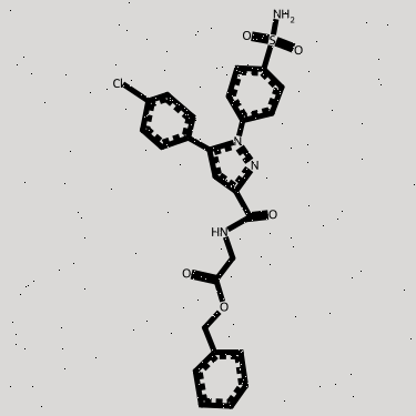 NS(=O)(=O)c1ccc(-n2nc(C(=O)NCC(=O)OCc3ccccc3)cc2-c2ccc(Cl)cc2)cc1